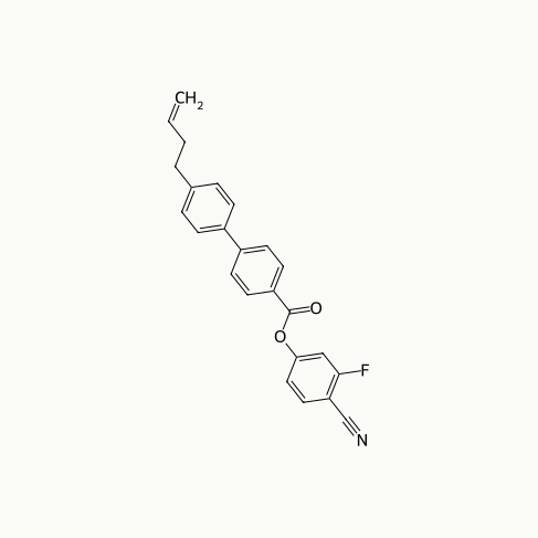 C=CCCc1ccc(-c2ccc(C(=O)Oc3ccc(C#N)c(F)c3)cc2)cc1